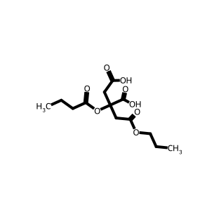 CCCOC(=O)CC(CC(=O)O)(OC(=O)CCC)C(=O)O